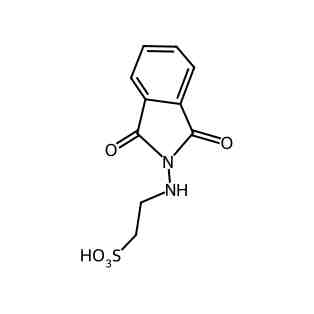 O=C1c2ccccc2C(=O)N1NCCS(=O)(=O)O